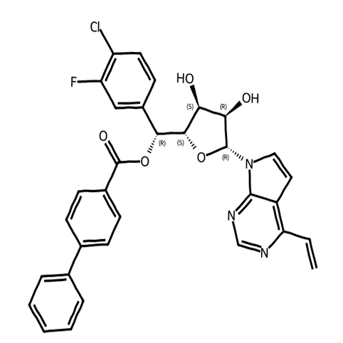 C=Cc1ncnc2c1ccn2[C@@H]1O[C@H]([C@H](OC(=O)c2ccc(-c3ccccc3)cc2)c2ccc(Cl)c(F)c2)[C@@H](O)[C@H]1O